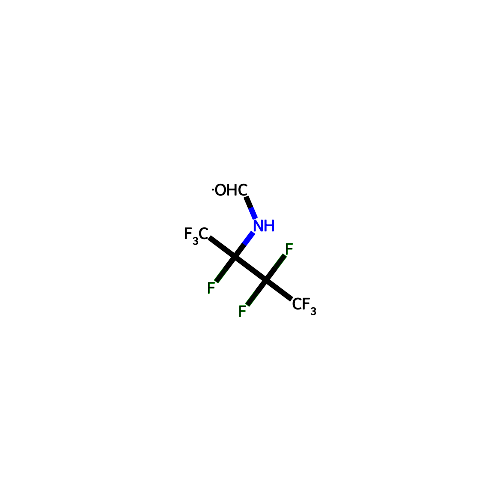 O=[C]NC(F)(C(F)(F)F)C(F)(F)C(F)(F)F